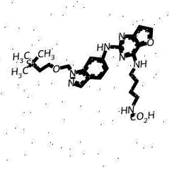 C[Si](C)(C)CCOCn1ncc2ccc(Nc3nc(NCCCCNC(=O)O)c4occc4n3)cc21